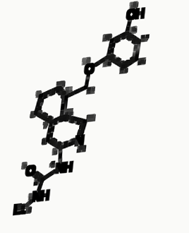 CCNC(=O)Nc1cc2cccc(COc3cccc(O)c3)c2cn1